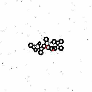 c1ccc(C2(c3ccccc3)c3ccccc3-c3ccc(N(c4ccccc4-c4ccc5c(c4)C4(c6ccccc6-5)c5ccccc5-n5c6ccccc6c6cccc4c65)c4cccc5ccccc45)cc32)cc1